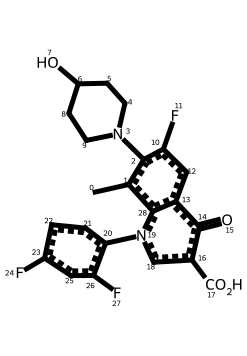 Cc1c(N2CCC(O)CC2)c(F)cc2c(=O)c(C(=O)O)cn(-c3ccc(F)cc3F)c12